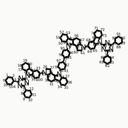 c1ccc(-c2nc(-c3ccccc3)nc(-n3c4ccccc4c4cc(-n5ccc6c5ccc5c7ccccc7n(-c7ccc(-c8ccc(-n9c%10ccccc%10c%10ccc%11c(ccn%11-c%11ccc%12c(c%11)c%11ccccc%11n%12-c%11nc(-c%12ccccc%12)nc(-c%12ccccc%12)n%11)c%109)cc8)cc7)c56)ccc43)n2)cc1